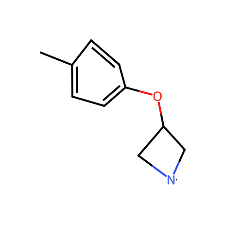 Cc1ccc(OC2C[N]C2)cc1